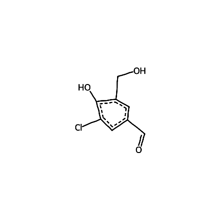 O=Cc1cc(Cl)c(O)c(CO)c1